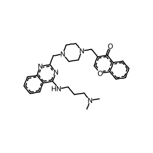 CN(C)CCCNc1nc(CN2CCN(Cc3coc4ccccc4c3=O)CC2)nc2ccccc12